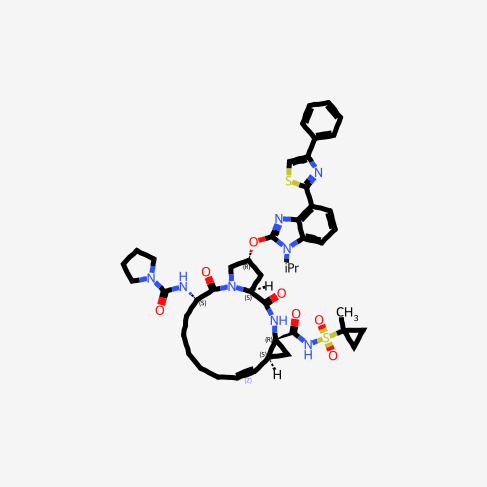 CC(C)n1c(O[C@@H]2C[C@H]3C(=O)N[C@]4(C(=O)NS(=O)(=O)C5(C)CC5)C[C@H]4/C=C\CCCCC[C@H](NC(=O)N4CCCC4)C(=O)N3C2)nc2c(-c3nc(-c4ccccc4)cs3)cccc21